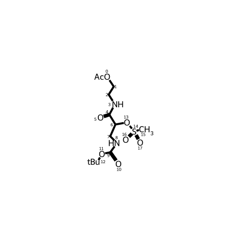 CC(=O)OCCNC(=O)C(CNC(=O)OC(C)(C)C)OS(C)(=O)=O